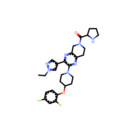 CCn1cc(-c2nc3c(nc2N2CCC(Oc4ccc(F)cc4F)CC2)CCN(C(=O)C2CCCN2)C3)cn1